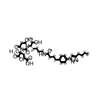 CC(CCC(=O)O)(C(=O)O)N1C(=O)CC(=O)N([C@@H](CCCCNC(=O)CCCc2ccc(-n3cc(CCCF)nn3)cc2)C(=O)O)C1=O